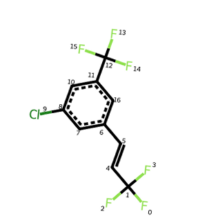 FC(F)(F)C=Cc1cc(Cl)cc(C(F)(F)F)c1